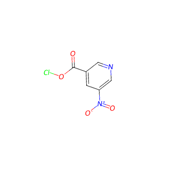 O=C(OCl)c1cncc([N+](=O)[O-])c1